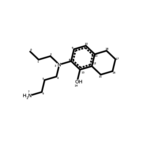 CCCN(CCCN)c1ccc2c(c1O)CCCC2